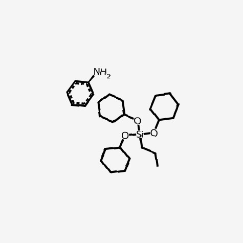 CCC[Si](OC1CCCCC1)(OC1CCCCC1)OC1CCCCC1.Nc1ccccc1